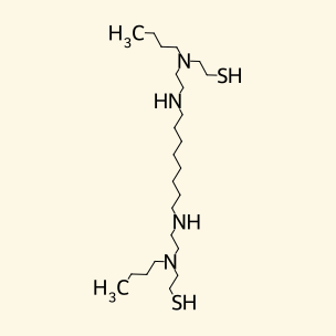 CCCCN(CCS)CCNCCCCCCCCNCCN(CCS)CCCC